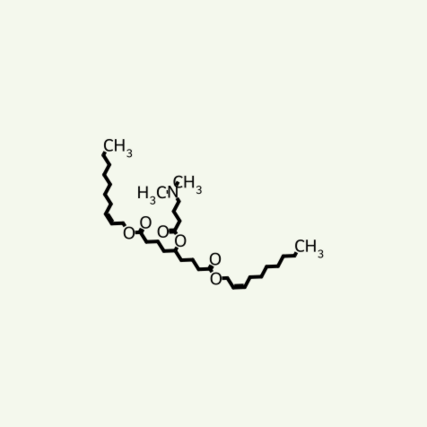 CCCCCCC/C=C\COC(=O)CCCC(CCCC(=O)OC/C=C\CCCCCCC)OC(=O)CCCN(C)C